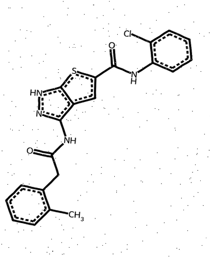 Cc1ccccc1CC(=O)Nc1n[nH]c2sc(C(=O)Nc3ccccc3Cl)cc12